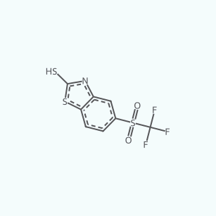 O=S(=O)(c1ccc2sc(S)nc2c1)C(F)(F)F